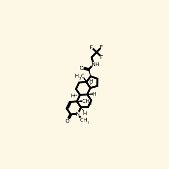 CN1C(=O)C=C[C@]2(C)[C@H]3CC[C@]4(C)[C@@H](C(=O)NCC(F)(F)F)CC[C@H]4[C@@H]3CC[C@@H]12